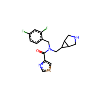 O=C(c1cscn1)N(Cc1ccc(F)cc1F)CC1C2CNCC21